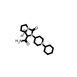 NC(=O)C1[C@H]2[CH]CCN2C(=O)N1C1CCN(C2CCCCC2)CC1